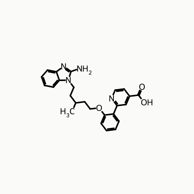 CC(CCOc1ccccc1-c1cc(C(=O)O)ccn1)CCn1c(N)nc2ccccc21